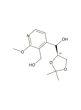 COc1nccc(C(O)[C@H]2COC(C)(C)O2)c1CO